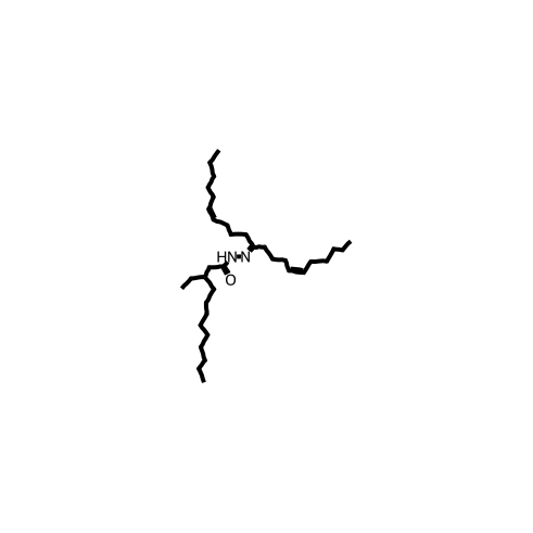 CCCCC/C=C\CCCC(CCC/C=C\CCCCC)=NNC(=O)CC(CC)CCCCCCCCC